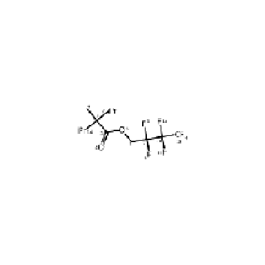 CC(C)C(C)(C(=O)OCC(F)(F)C(F)(F)C(F)(F)F)C(C)C